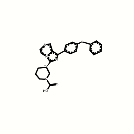 O=C(O)N1CCC[C@@H](c2nc(-c3ccc(Oc4ccccc4)cc3)c3cnccn23)C1